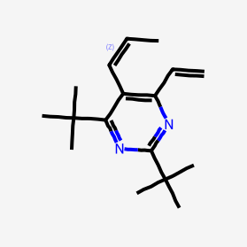 C=Cc1nc(C(C)(C)C)nc(C(C)(C)C)c1/C=C\C